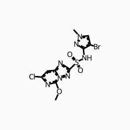 COc1nc(Cl)cc2nc(S(=O)(=O)Nc3nn(C)cc3Br)nn12